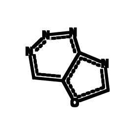 c1nc2nnncc2o1